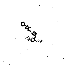 CCOC(=O)[C@H]1CCN(C(=O)OC(C)(C)C)CC1Cc1cccc(OCCc2nc(-c3ccccc3)oc2C)c1